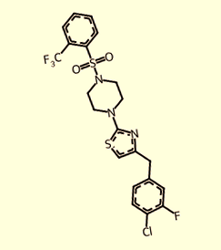 O=S(=O)(c1ccccc1C(F)(F)F)N1CCN(c2nc(Cc3ccc(Cl)c(F)c3)cs2)CC1